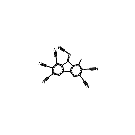 Cc1c(C#N)c(C#N)cc2c1/C(=N/C#N)c1c-2cc(C#N)c(C#N)c1C#N